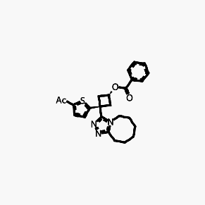 CC(=O)c1ccc([C@]2(c3nnc4n3CCCCCC4)C[C@@H](OC(=O)c3ccccc3)C2)s1